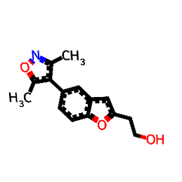 Cc1noc(C)c1-c1ccc2oc(CCO)cc2c1